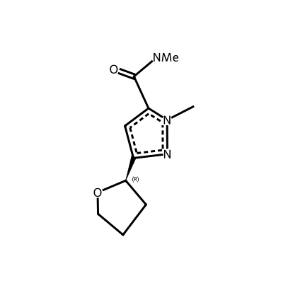 CNC(=O)c1cc([C@H]2CCCO2)nn1C